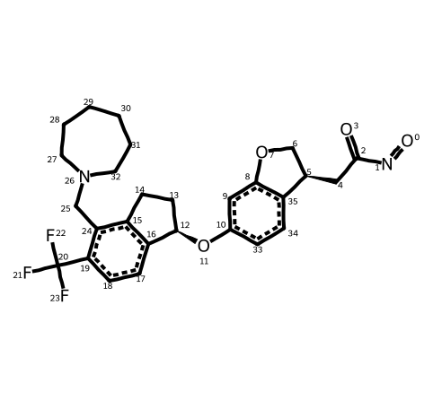 O=NC(=O)C[C@@H]1COc2cc(O[C@@H]3CCc4c3ccc(C(F)(F)F)c4CN3CCCCCC3)ccc21